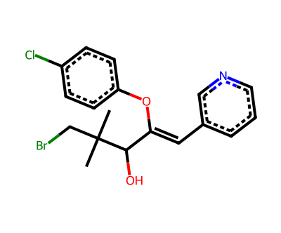 CC(C)(CBr)C(O)C(=Cc1cccnc1)Oc1ccc(Cl)cc1